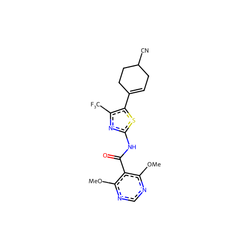 COc1ncnc(OC)c1C(=O)Nc1nc(C(F)(F)F)c(C2=CCC(C#N)CC2)s1